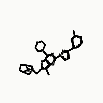 Cc1cccc(-c2ccn(-c3nc(N4CCOCC4)c4sc(CN5CC6CCC(C5)N6)c(C)c4n3)n2)c1